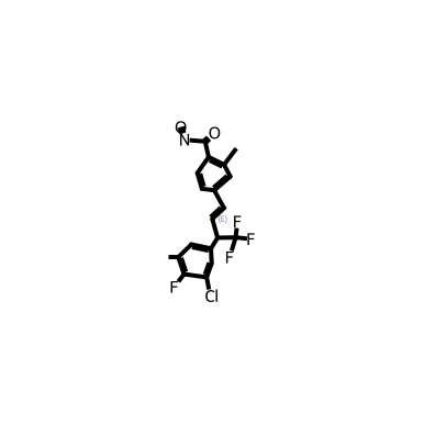 Cc1cc(/C=C/C(c2cc(C)c(F)c(Cl)c2)C(F)(F)F)ccc1C(=O)N=O